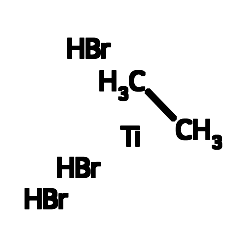 Br.Br.Br.CC.[Ti]